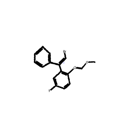 COCOc1ccc(F)cc1/C(=C/Br)c1ccccc1